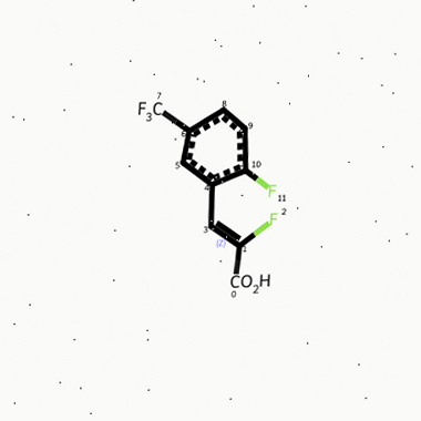 O=C(O)/C(F)=C/c1cc(C(F)(F)F)ccc1F